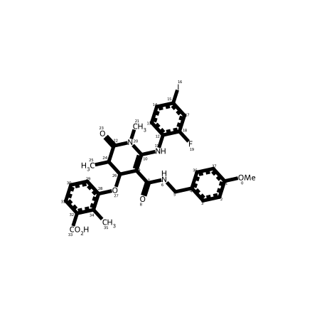 COc1ccc(CNC(=O)C2=C(Nc3ccc(I)cc3F)N(C)C(=O)C(C)C2Oc2cccc(C(=O)O)c2C)cc1